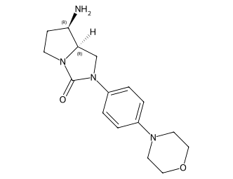 N[C@@H]1CCN2C(=O)N(c3ccc(N4CCOCC4)cc3)C[C@H]12